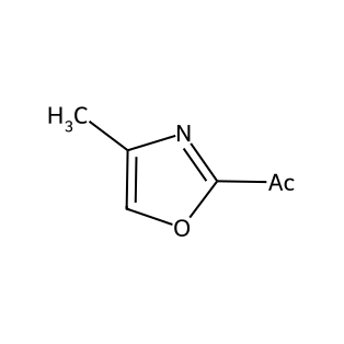 CC(=O)c1nc(C)co1